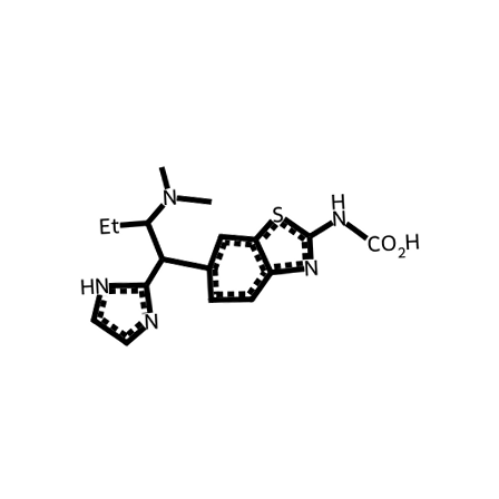 CCC(C(c1ccc2nc(NC(=O)O)sc2c1)c1ncc[nH]1)N(C)C